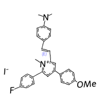 COc1ccc(-c2cc(/C=C/c3ccc(N(C)C)cc3)[n+](C)c(-c3ccc(F)cc3)c2)cc1.[I-]